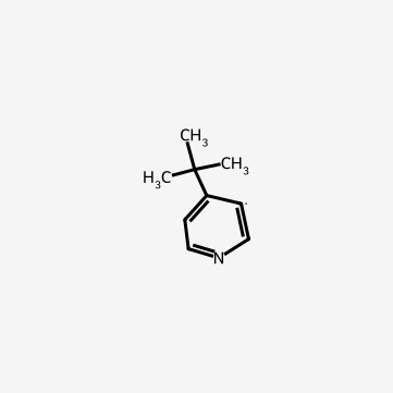 CC(C)(C)c1[c]cncc1